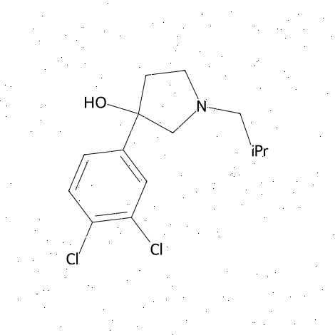 CC(C)CN1CCC(O)(c2ccc(Cl)c(Cl)c2)C1